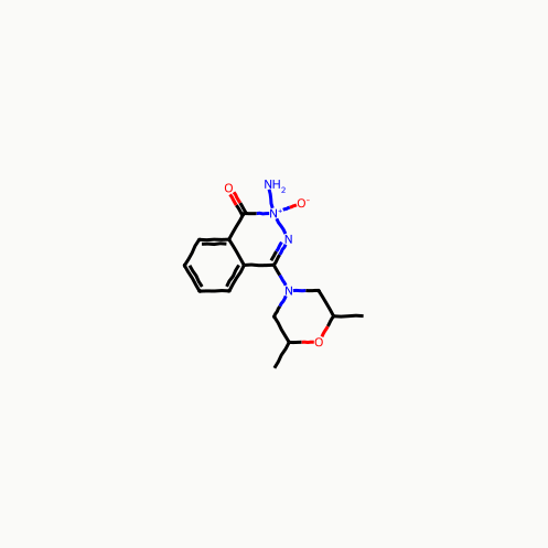 CC1CN(C2=N[N+](N)([O-])C(=O)c3ccccc32)CC(C)O1